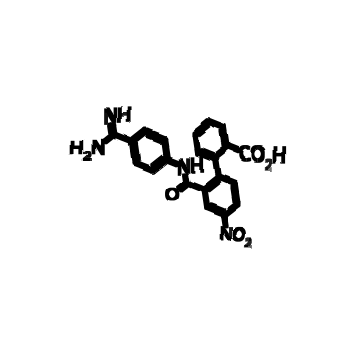 N=C(N)c1ccc(NC(=O)c2cc([N+](=O)[O-])ccc2-c2ccccc2C(=O)O)cc1